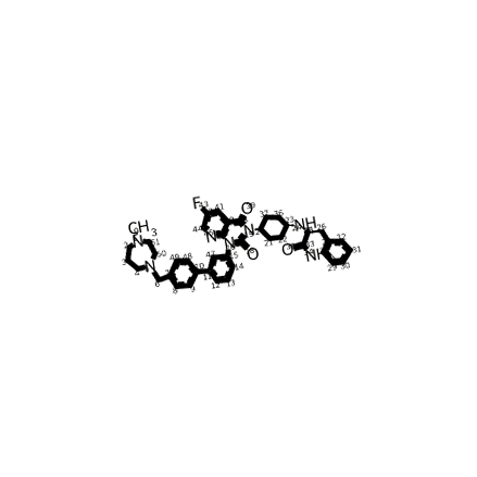 CN1CCCN(Cc2ccc(-c3cccc(-n4c(=O)n([C@H]5CC[C@@H](N[C@@H](Cc6ccccc6)C(N)=O)CC5)c(=O)c5cc(F)cnc54)c3)cc2)CC1